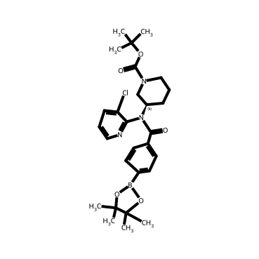 CC(C)(C)OC(=O)N1CCC[C@@H](N(C(=O)c2ccc(B3OC(C)(C)C(C)(C)O3)cc2)c2ncccc2Cl)C1